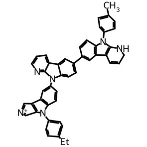 CCc1ccc(-n2c3c(c4cc(-n5c6ccc(-c7ccc8c(c7)c7c(n8-c8ccc(C)cc8)NCC=C7)cc6c6cccnc65)ccc42)C=[N+]=C3)cc1